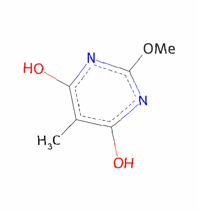 COc1nc(O)c(C)c(O)n1